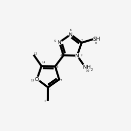 Cc1cc(-c2nnc(S)n2N)c(C)o1